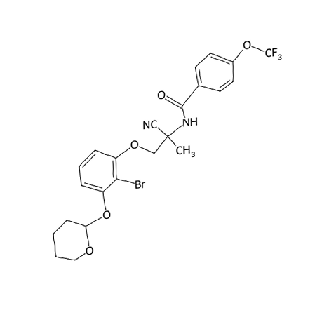 CC(C#N)(COc1cccc(OC2CCCCO2)c1Br)NC(=O)c1ccc(OC(F)(F)F)cc1